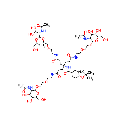 CC(=O)NC(C(O)O)C(OCCOCCNC(=O)CCC(CCC(=O)NCCOCCOC1OC(CO)C(O)C(O)C1NC(C)=O)(CCC(=O)NCCOCCOC1OC(CO)C(O)C(O)C1NC(C)=O)NC(=O)C1CCC(OC(C)(C)C)CC1)OC(C)CO